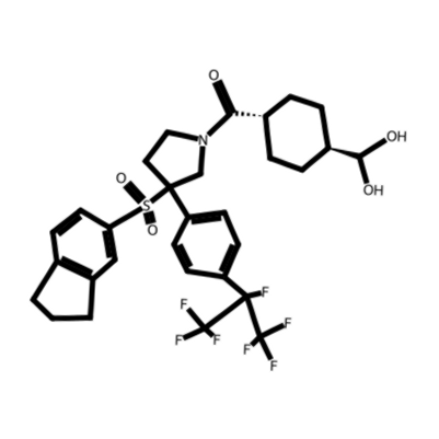 O=C([C@H]1CC[C@H](C(O)O)CC1)N1CCC(c2ccc(C(F)(C(F)(F)F)C(F)(F)F)cc2)(S(=O)(=O)c2ccc3c(c2)CCC3)C1